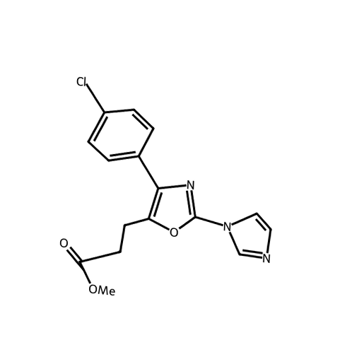 COC(=O)CCc1oc(-n2ccnc2)nc1-c1ccc(Cl)cc1